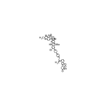 CCc1cc(Nc2ncc(Br)c(Nc3ccc4nc(C)ccc4c3P(C)(C)=O)n2)c(OC)cc1N1CCC(N2CCN(CCN(C)c3cccc4c3CN(C3CCC(=O)NC3=O)C4=O)CC2)CC1